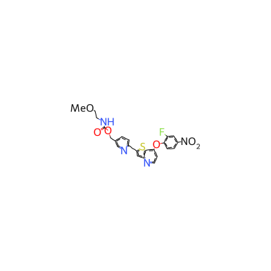 COCCNC(=O)OCc1ccc(-c2cc3nccc(Oc4ccc([N+](=O)[O-])cc4F)c3s2)nc1